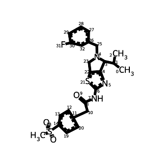 CC(C)C1c2nc(NC(=O)Cc3ccc(S(C)(=O)=O)cc3)sc2CN1Cc1cccc(F)c1